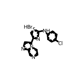 Br.Clc1ccc(Nc2nc(-c3cnc4cnccn34)cs2)cc1